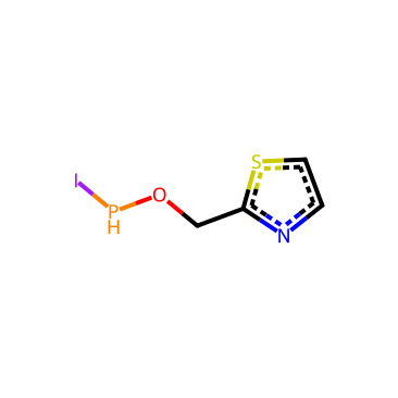 IPOCc1nccs1